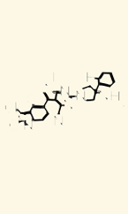 Cn1nc2ccc(-c3c[nH]c4nc(N5CCC(N)(c6ccccc6F)CC5)nc(C#N)c34)c(Cl)c2c1Cl